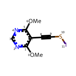 COc1ncnc(OC)c1C#CSI